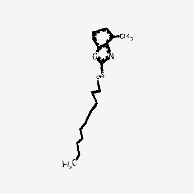 CCCCCCCCCCSSc1nc2c(C)cccc2o1